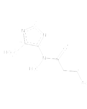 CC(=O)CCC(=O)N(C)c1nsnc1C(=O)O